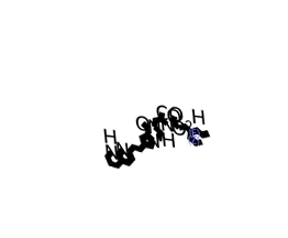 C=C/C=C(\C=C/C)COC(=O)NC(CN1CCn2cc(CCc3ccc4c(n3)NCCC4)cc2C1=O)C(=O)O